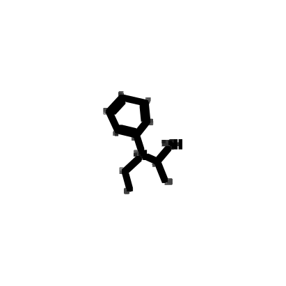 CCN(c1ccccc1)C(C)S